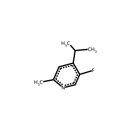 Cc1cc(C(C)C)c(F)cn1